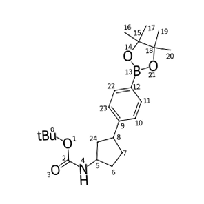 CC(C)(C)OC(=O)NC1CCC(c2ccc(B3OC(C)(C)C(C)(C)O3)cc2)C1